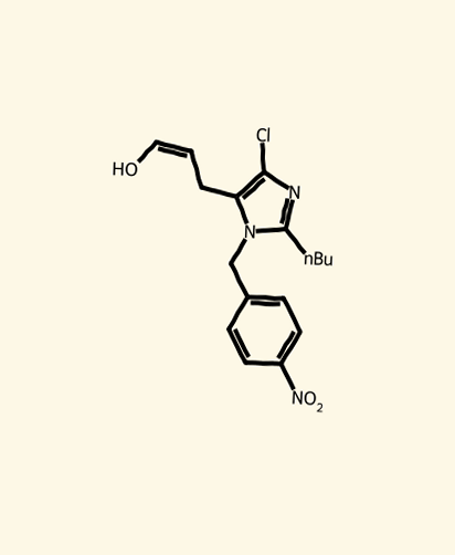 CCCCc1nc(Cl)c(C/C=C\O)n1Cc1ccc([N+](=O)[O-])cc1